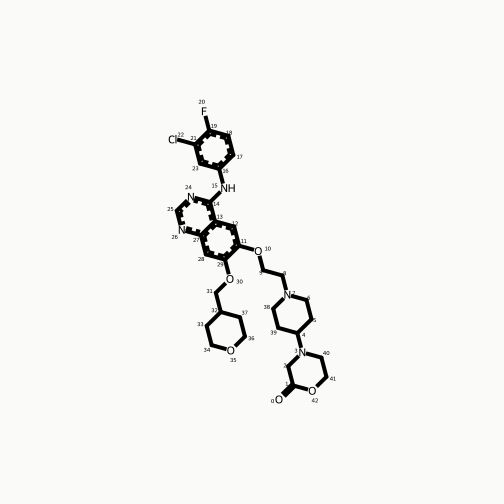 O=C1CN(C2CCN(CCOc3cc4c(Nc5ccc(F)c(Cl)c5)ncnc4cc3OCC3CCOCC3)CC2)CCO1